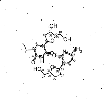 CCc1cn([C@H]2C[C@H](O)[C@@H](CO)O2)c(=O)[nH]c1=O.Nc1ccn([C@H]2CC[C@@H](CO)O2)c(=O)n1